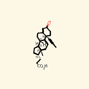 CC#C[C@]12CCC(=O)C=C1CC[C@@H]1C2=CC[C@]2(C)[C@H](CCC(=O)O)CC[C@@H]12